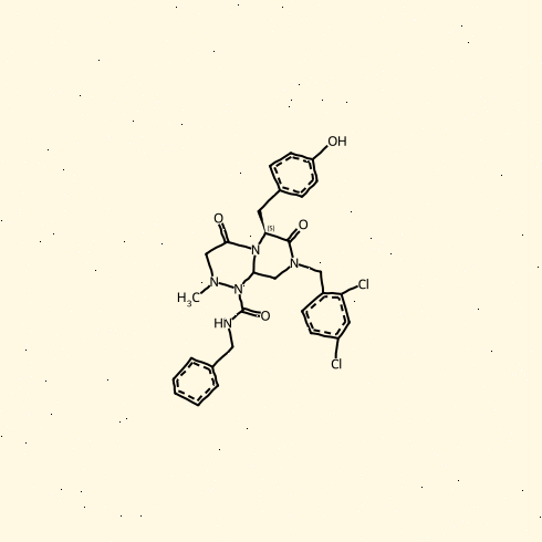 CN1CC(=O)N2C(CN(Cc3ccc(Cl)cc3Cl)C(=O)[C@@H]2Cc2ccc(O)cc2)N1C(=O)NCc1ccccc1